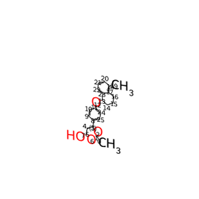 CCO[C@@H](CC(=O)O)c1ccc(OC2CCCc3c(C)cccc32)cc1